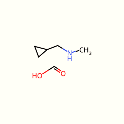 CNCC1CC1.O=CO